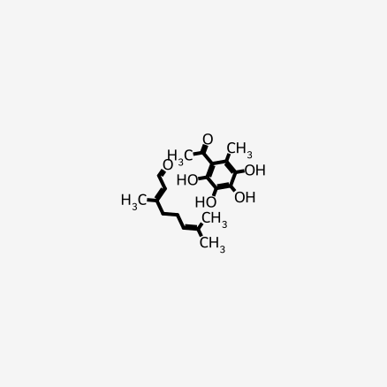 CC(=O)c1c(C)c(O)c(O)c(O)c1O.CC(C)=CCCC(C)=CC=O